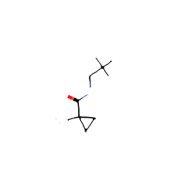 CCCC(C)(C)CNC(=O)C1(C#N)CC1